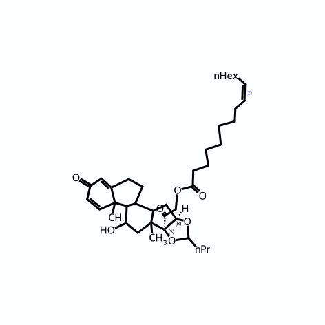 CCCCCC/C=C\CCCCCCCC(=O)OCC(=O)[C@@]12OC(CCC)O[C@@H]1CC1C3CCC4=CC(=O)C=CC4(C)C3C(O)CC12C